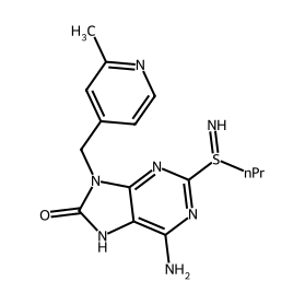 CCCS(=N)c1nc(N)c2[nH]c(=O)n(Cc3ccnc(C)c3)c2n1